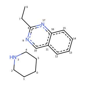 C1CCNCC1.CCc1ncc2ccccc2n1